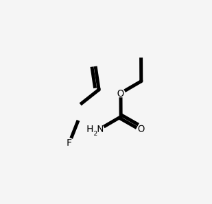 C=CC.CCOC(N)=O.CF